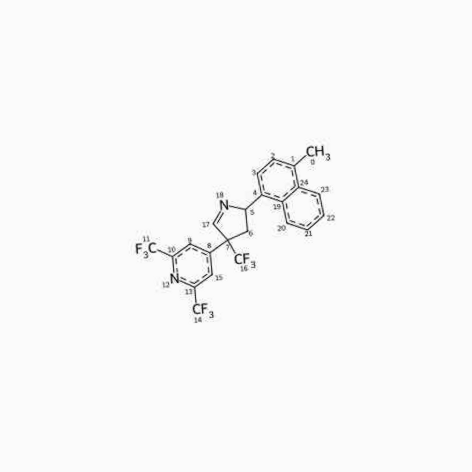 Cc1ccc(C2CC(c3cc(C(F)(F)F)nc(C(F)(F)F)c3)(C(F)(F)F)C=N2)c2ccccc12